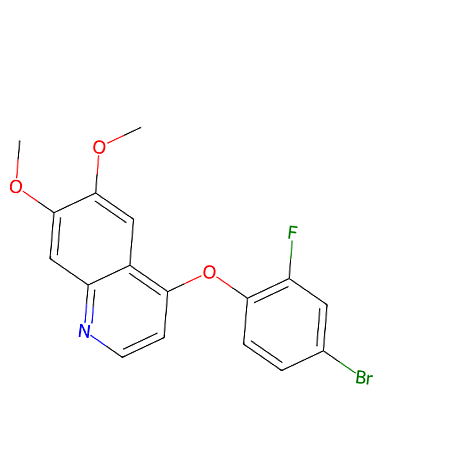 COc1cc2nccc(Oc3ccc(Br)cc3F)c2cc1OC